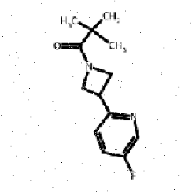 CC(C)(C)C(=O)N1CC(c2ccc(F)cn2)C1